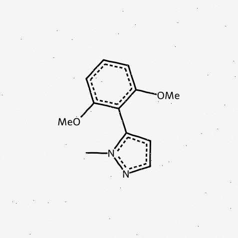 COc1cccc(OC)c1-c1ccnn1C